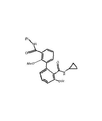 COc1[c]ccc(-c2cccc(C(=O)NC(C)C)c2OC)c1C(=O)NC1CC1